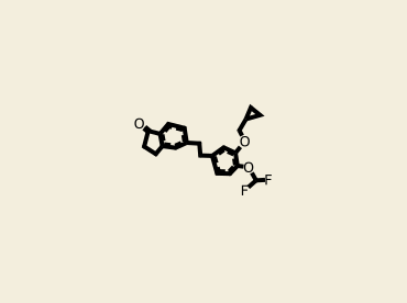 O=C1CCc2cc(CCc3ccc(OC(F)F)c(OCC4CC4)c3)ccc21